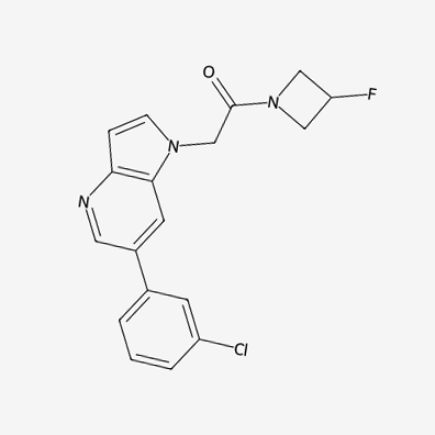 O=C(Cn1ccc2ncc(-c3cccc(Cl)c3)cc21)N1CC(F)C1